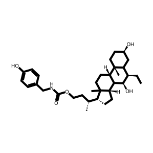 CC[C@@H]1C2C[C@H](O)CC[C@@]2(C)[C@H]2CCC3(C)[C@@H]([C@H](C)CCOC(=O)NCc4ccc(O)cc4)CC[C@H]3C2[C@@H]1O